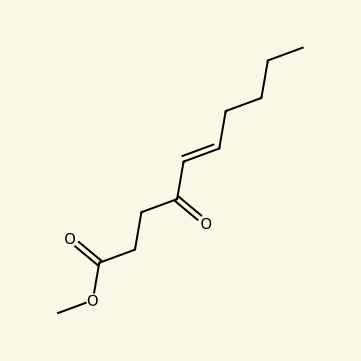 CCCC/C=C/C(=O)CCC(=O)OC